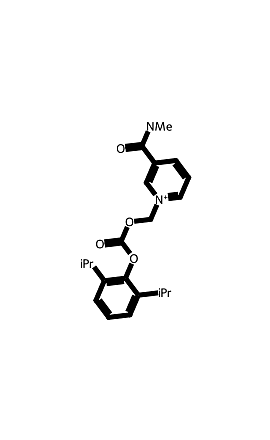 CNC(=O)c1ccc[n+](COC(=O)Oc2c(C(C)C)cccc2C(C)C)c1